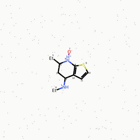 CCNC1CC(CC)[NH+]([O-])c2sccc21